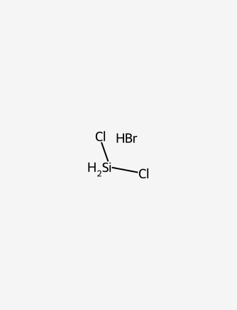 Br.Cl[SiH2]Cl